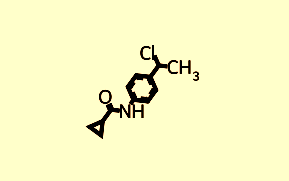 CC(Cl)c1ccc(NC(=O)C2CC2)cc1